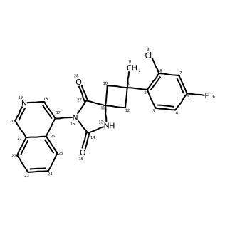 CC1(c2ccc(F)cc2Cl)CC2(C1)NC(=O)N(c1cncc3ccccc13)C2=O